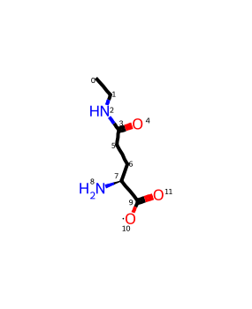 CCNC(=O)CC[C@H](N)C([O])=O